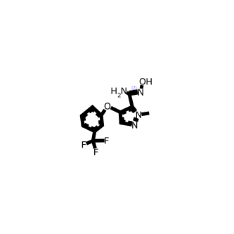 Cn1ncc(Oc2cccc(C(F)(F)F)c2)c1/C(N)=N/O